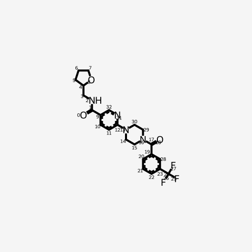 O=C(NCC1CCCO1)c1ccc(N2CCN(C(=O)c3cccc(C(F)(F)F)c3)CC2)nc1